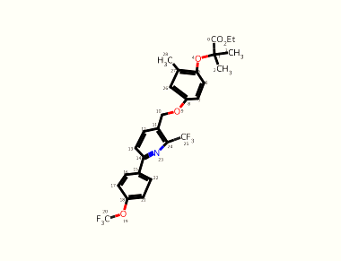 CCOC(=O)C(C)(C)Oc1ccc(OCc2ccc(-c3ccc(OC(F)(F)F)cc3)nc2C(F)(F)F)cc1C